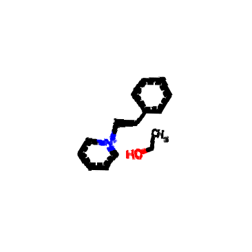 C(=C\[n+]1ccccc1)/c1ccccc1.CCO